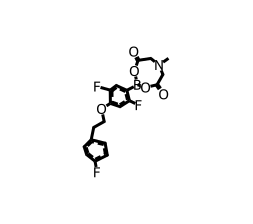 CN1CC(=O)OB(c2cc(F)c(OCCc3ccc(F)cc3)cc2F)OC(=O)C1